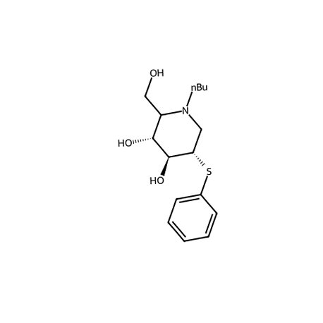 CCCCN1C[C@H](Sc2ccccc2)[C@@H](O)[C@H](O)C1CO